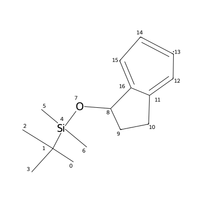 CC(C)(C)[Si](C)(C)OC1CCc2c[c]ccc21